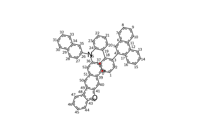 c1ccc(-c2cc3ccccc3c3ccccc23)c(-c2ccccc2N(c2ccc3ccccc3c2)c2ccc3cc4oc5ccccc5c4cc3c2)c1